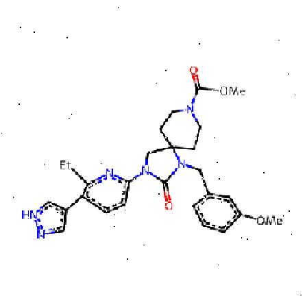 CCc1nc(N2CC3(CCN(C(=O)OC)CC3)N(Cc3cccc(OC)c3)C2=O)ccc1-c1cn[nH]c1